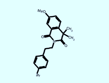 COc1ccc2c(c1)C(=O)N(CCc1ccc(C(C)C)cc1)C(=O)C2(C)C